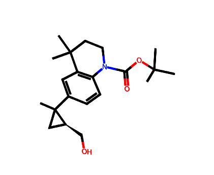 CC(C)(C)OC(=O)N1CCC(C)(C)c2cc(C3(C)C[C@@H]3CO)ccc21